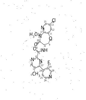 Cc1cnc(C(=O)N[C@H]2COc3cc(Cl)cnc3N(C)C2=O)nc1-c1ccncc1F